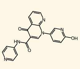 O=C(Nc1ccncc1)c1cn(-c2ccc(O)nc2)c2ncccc2c1=O